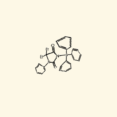 CCC1(CC)C(=O)N([Si](c2ccccc2)(c2ccccc2)c2ccccc2)C(=O)N1c1ccccc1